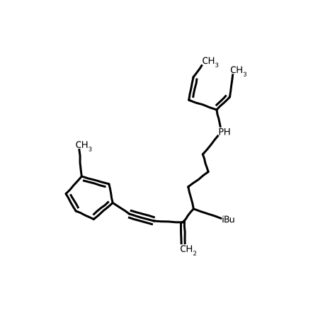 C=C(C#Cc1cccc(C)c1)C(CCCPC(/C=C\C)=C/C)C(C)CC